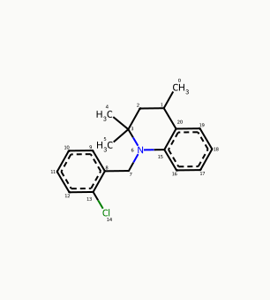 CC1CC(C)(C)N(Cc2ccccc2Cl)c2ccccc21